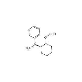 CN(c1ccccc1)[C@@H]1CCCC[C@H]1OC=O